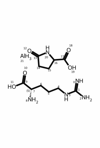 N=C(N)NCCC[C@H](N)C(=O)O.O=C1CCC(C(=O)O)N1.[AlH3]